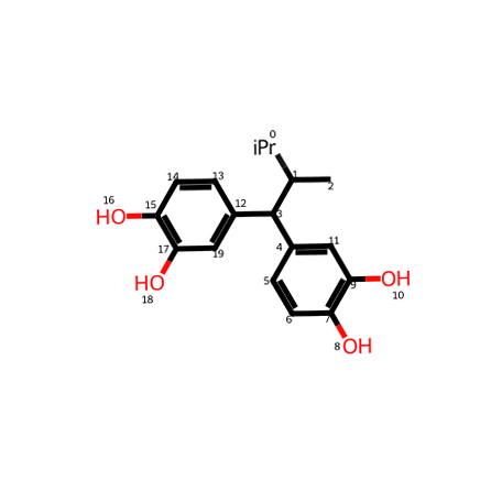 CC(C)C(C)C(c1ccc(O)c(O)c1)c1ccc(O)c(O)c1